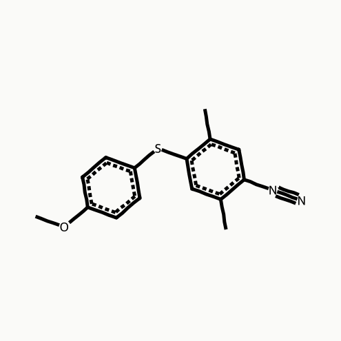 COc1ccc(Sc2cc(C)c([N+]#N)cc2C)cc1